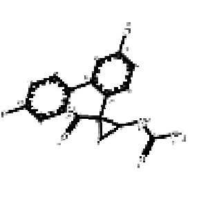 NC(=O)NC1CC1(C(=O)O)c1ccc(Cl)cc1-c1ccc(F)cc1